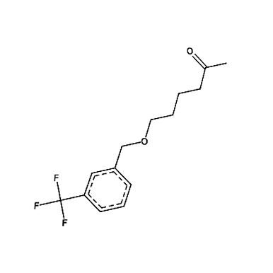 CC(=O)CCCCOCc1cccc(C(F)(F)F)c1